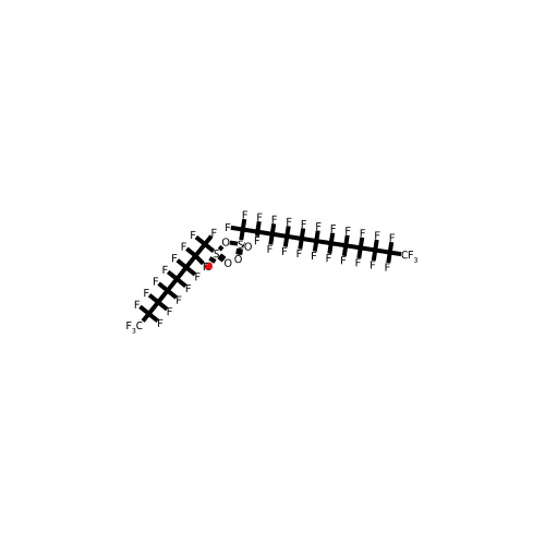 O=S(=O)(OS(=O)(=O)C(F)(F)C(F)(F)C(F)(F)C(F)(F)C(F)(F)C(F)(F)C(F)(F)C(F)(F)C(F)(F)C(F)(F)C(F)(F)C(F)(F)F)C(F)(F)C(F)(F)C(F)(F)C(F)(F)C(F)(F)C(F)(F)C(F)(F)C(F)(F)F